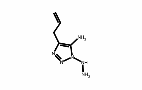 C=CCc1nnn(NN)c1N